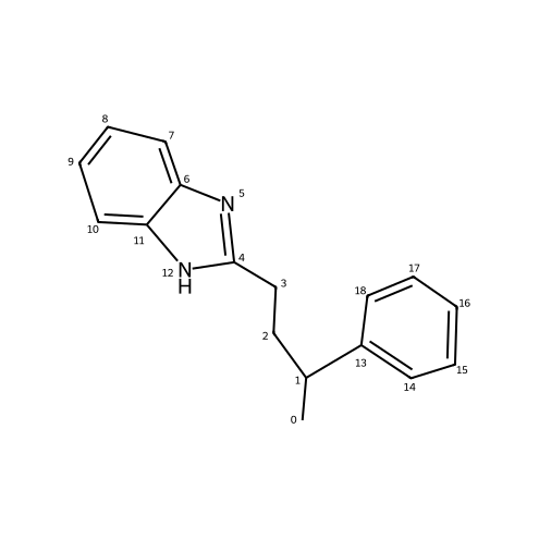 CC(CCc1nc2ccccc2[nH]1)c1ccccc1